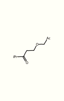 CC(=O)COCCC(=O)C(C)C